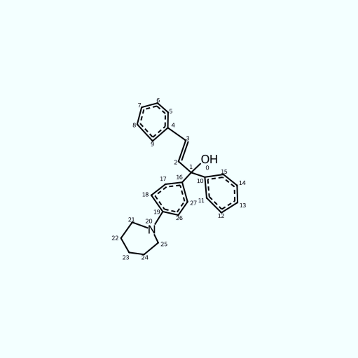 OC(C=Cc1ccccc1)(c1ccccc1)c1ccc(N2CCCCC2)cc1